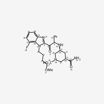 COCCCCn1c(C(=O)C(N[C@H]2C[C@@H](C(N)=O)CN(C(=O)O)C2)C(C)C)nc2cccc(F)c21